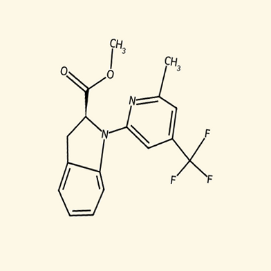 COC(=O)[C@@H]1Cc2ccccc2N1c1cc(C(F)(F)F)cc(C)n1